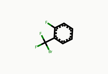 Fc1ccccc1C(F)(F)Br